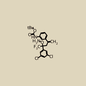 C=C(CC(ON)(c1cc(Cl)cc(Cl)c1)C(F)(F)F)c1cccc(NC(=O)OC(C)(C)C)c1